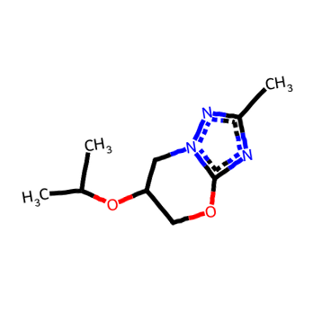 Cc1nc2n(n1)CC(OC(C)C)CO2